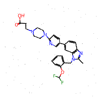 Cc1nc2ccc(-c3ccc(N4CCN(CCC(=O)O)CC4)nc3)cc2n1Cc1ccccc1OC(F)F